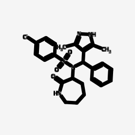 Cc1n[nH]c(C)c1C(c1ccccc1)N(C1CCCCNC1=O)S(=O)(=O)c1ccc(Cl)cc1